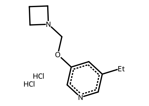 CCc1cncc(OCN2CCC2)c1.Cl.Cl